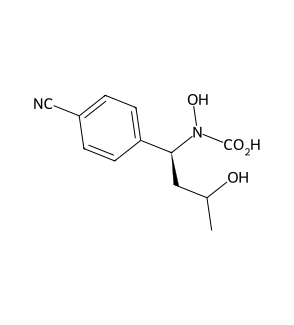 CC(O)C[C@@H](c1ccc(C#N)cc1)N(O)C(=O)O